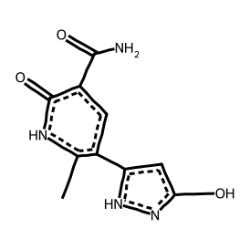 Cc1[nH]c(=O)c(C(N)=O)cc1-c1cc(O)n[nH]1